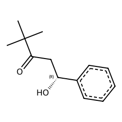 CC(C)(C)C(=O)C[C@@H](O)c1ccccc1